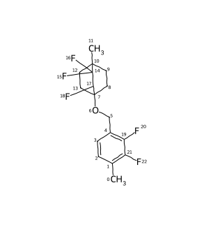 Cc1ccc(COC23CCC(C)(CC2)C(F)(F)C3F)c(F)c1F